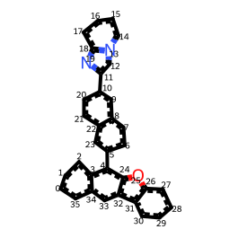 c1ccc2c(-c3ccc4cc(-c5cn6ccccc6n5)ccc4c3)c3oc4ccccc4c3cc2c1